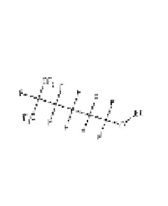 CCOC(F)(F)C(F)(F)C(F)(F)C(F)(F)C(F)(C(F)(F)F)C(F)(F)F